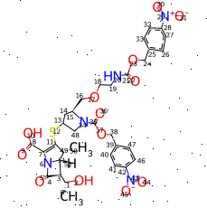 C[C@@H](O)[C@H]1C(=O)N2C(C(=O)O)=C(S[C@H]3C[C@@H](COCCNC(=O)OCc4ccc([N+](=O)[O-])cc4)N(C(=O)OCc4ccc([N+](=O)[O-])cc4)C3)[C@H](C)[C@H]12